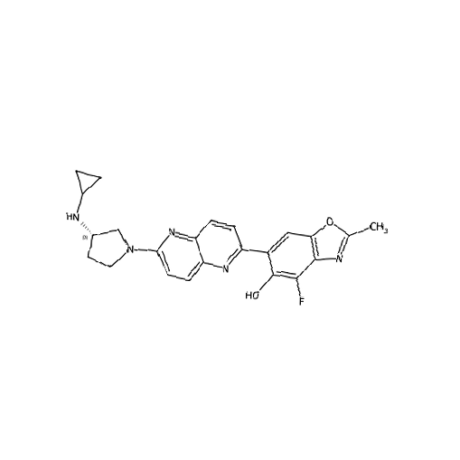 Cc1nc2c(F)c(O)c(-c3ccc4nc(N5CC[C@H](NC6CC6)C5)ccc4n3)cc2o1